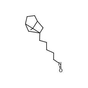 CC12C3CCC1CC2(CCCCCN=O)C3